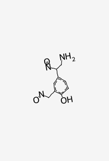 NCC(N=O)c1ccc(O)c(CN=O)c1